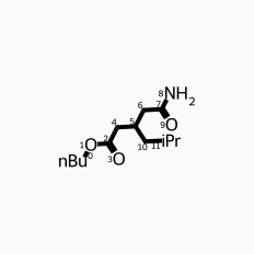 CCCCOC(=O)CC(CC(N)=O)CC(C)C